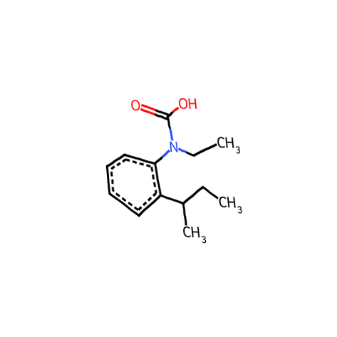 CCC(C)c1ccccc1N(CC)C(=O)O